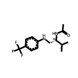 CC(=O)N[C@@H](CNc1ccc(C(F)(F)F)cc1)C(C)C